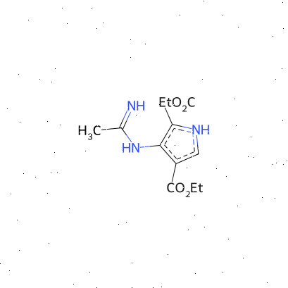 CCOC(=O)c1c[nH]c(C(=O)OCC)c1NC(C)=N